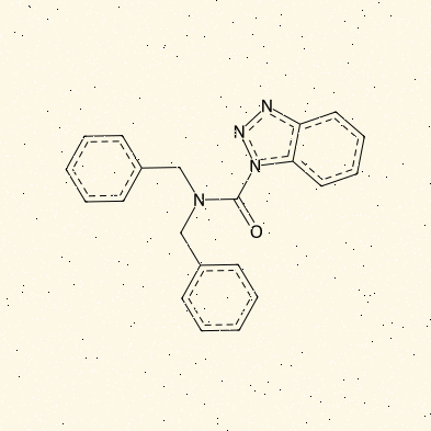 O=C(N(Cc1ccccc1)Cc1ccccc1)n1nnc2ccccc21